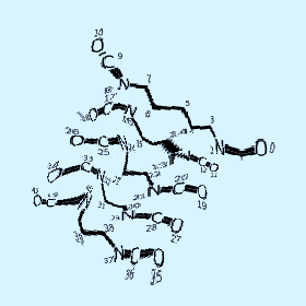 O=C=NCCCCCN=C=O.O=C=NCCN=C=O.O=C=NCCN=C=O.O=C=NCCN=C=O.O=C=NCCN=C=O